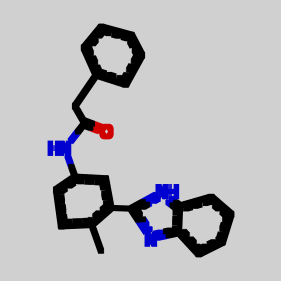 Cc1ccc(NC(=O)Cc2ccccc2)cc1-c1nc2ccccc2[nH]1